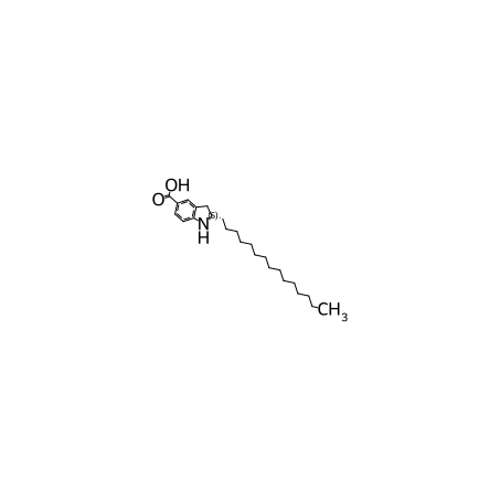 CCCCCCCCCCCCCCC[C@H]1Cc2cc(C(=O)O)ccc2N1